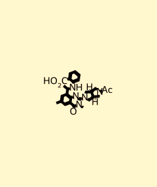 CC(=O)N1C[C@H]2CN(c3nc4c(C(C)Nc5ccccc5C(=O)O)cc(C)cc4c(=O)n3C)C[C@@H]2C1